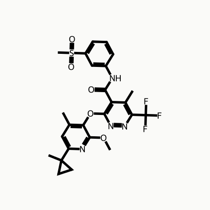 COc1nc(C2(C)CC2)cc(C)c1Oc1nnc(C(F)(F)F)c(C)c1C(=O)Nc1cccc(S(C)(=O)=O)c1